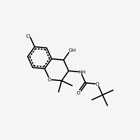 CC(C)(C)OC(=O)NC1C(O)c2cc(Cl)ccc2OC1(C)C